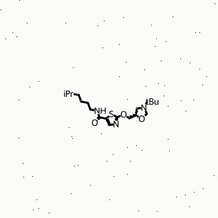 CC(C)CCCCNC(=O)c1cnc(OC=C2CN(C(C)(C)C)CO2)s1